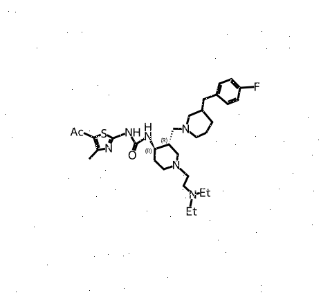 CCN(CC)CCN1CC[C@@H](NC(=O)Nc2nc(C)c(C(C)=O)s2)[C@H](CN2CCCC(Cc3ccc(F)cc3)C2)C1